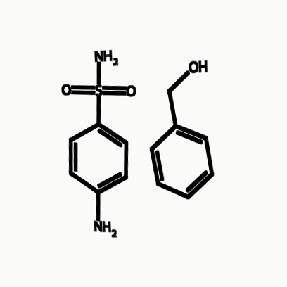 Nc1ccc(S(N)(=O)=O)cc1.OCc1ccccc1